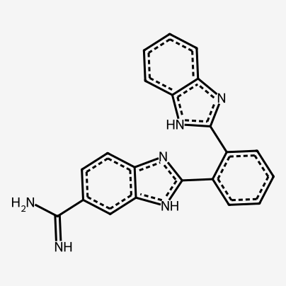 N=C(N)c1ccc2nc(-c3ccccc3-c3nc4ccccc4[nH]3)[nH]c2c1